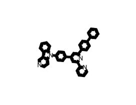 c1ccc(-c2ccc(-c3cc(-c4ccc(-n5c6ccccc6c6cnccc65)cc4)cc(-c4ccccn4)n3)cc2)cc1